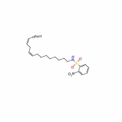 CCCCC/C=C\C/C=C\CCCCCCCCNS(=O)(=O)c1ccccc1[N+](=O)[O-]